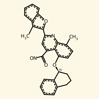 Cc1c(-c2cc(C(=O)N=O)c3c(O[C@H]4CCCc5ccccc54)ccc(C)c3n2)oc2ccccc12